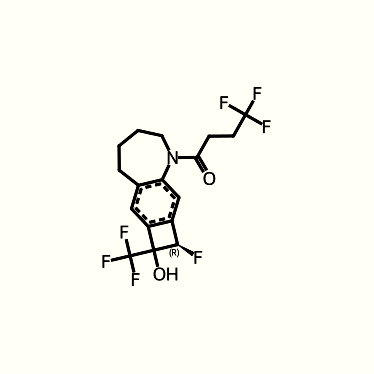 O=C(CCC(F)(F)F)N1CCCCc2cc3c(cc21)[C@@H](F)C3(O)C(F)(F)F